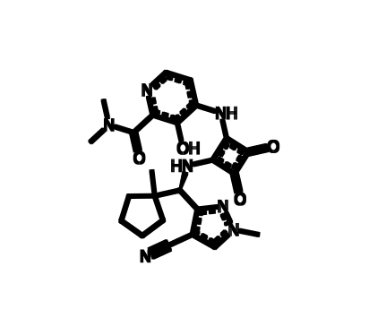 CN(C)C(=O)c1nccc(Nc2c(N[C@@H](c3nn(C)cc3C#N)C3(C)CCCC3)c(=O)c2=O)c1O